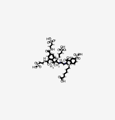 CC1(C)C(/C=C/C=C2/N(CCCCCC(=O)O)c3ccc(S(=O)(=O)O)cc3C2(C)C)=[N+](CCCS(=O)(=O)O)c2cc(C(=O)NCCS(=O)(=O)O)cc(C(=O)NCCS(=O)(=O)O)c21